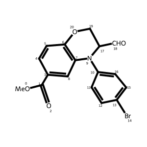 COC(=O)c1ccc2c(c1)N(c1ccc(Br)cc1)C(C=O)CO2